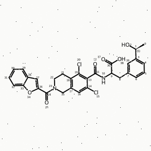 C[C@H](O)c1cccc(CC(NC(=O)c2c(Cl)cc3c(c2Cl)CCN(C(=O)c2cc4ccccc4o2)C3)C(=O)O)c1